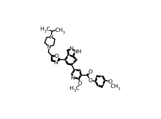 COc1ccc(OC(=O)c2cc(-c3cc(-c4ncc(CN5CCN(C(C)C)CC5)o4)c4cn[nH]c4c3)cnc2OC)cc1